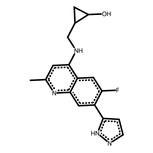 Cc1cc(NCC2CC2O)c2cc(F)c(-c3ccn[nH]3)cc2n1